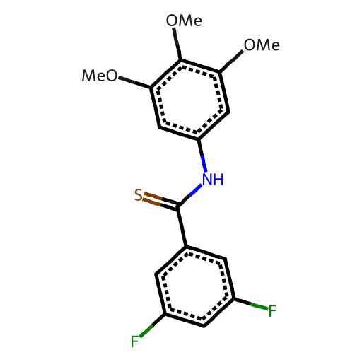 COc1cc(NC(=S)c2cc(F)cc(F)c2)cc(OC)c1OC